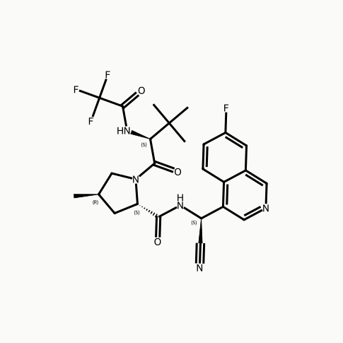 C[C@@H]1C[C@@H](C(=O)N[C@H](C#N)c2cncc3cc(F)ccc23)N(C(=O)[C@@H](NC(=O)C(F)(F)F)C(C)(C)C)C1